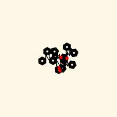 c1ccc(N(c2ccccc2)c2cc(-n3c4ccccc4c4ccccc43)cc(-n3c4ccccc4c4c(N(c5ccccc5)c5ccccc5)ccc(N(c5ccccc5)c5ccccc5)c43)c2)cc1